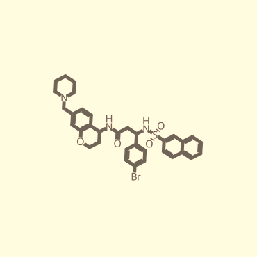 O=C(CC(NS(=O)(=O)c1ccc2ccccc2c1)c1ccc(Br)cc1)NC1CCOc2cc(CN3CCCCC3)ccc21